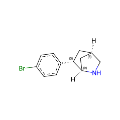 Brc1ccc([C@@H]2C[C@H]3CN[C@@H]2C3)cc1